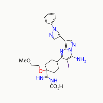 COCCOC1(C(=N)NC(=O)O)CCC(c2nc3c(-c4cnn(-c5ccccc5)c4)cnn3c(N)c2I)CC1